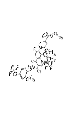 CCOC(=O)C1CCN(c2c(F)cc3c(=O)c(C(=O)NCc4ccc(OC(F)(F)F)cc4C)cn([C@H](C)C(F)(F)F)c3c2OC)CC1